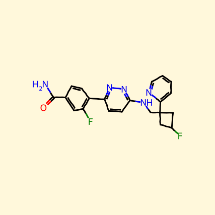 NC(=O)c1ccc(-c2ccc(NCC3(c4ccccn4)CC(F)C3)nn2)c(F)c1